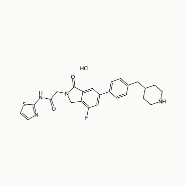 Cl.O=C(CN1Cc2c(F)cc(-c3ccc(CC4CCNCC4)cc3)cc2C1=O)Nc1nccs1